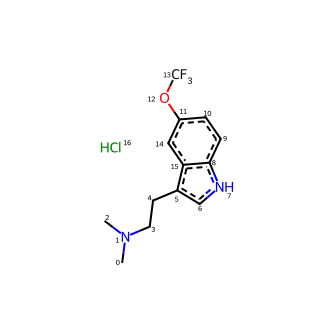 CN(C)CCc1c[nH]c2ccc(OC(F)(F)F)cc12.Cl